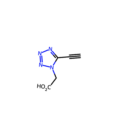 C#Cc1nnnn1CC(=O)O